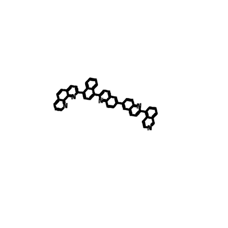 c1cc(-c2ccc3cc(-c4ccc5nc(-c6ccc(-c7ccc8ccc9cccnc9c8n7)c7ccccc67)ccc5c4)ccc3n2)c2ccncc2c1